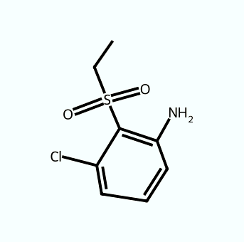 CCS(=O)(=O)c1c(N)cccc1Cl